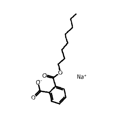 CCCCCCCCOC(=O)c1ccccc1C(=O)[O-].[Na+]